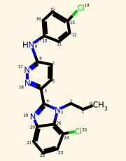 CCCn1c(-c2ccc(Nc3ccc(Cl)cc3)nn2)nc2cccc(Cl)c21